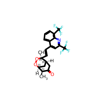 C[C@@H]1C(=O)C[C@H]2C[C@@H]1OO[C@@]2(C)C=Cc1cc(C(F)(F)F)nc2c(C(F)(F)F)cccc12